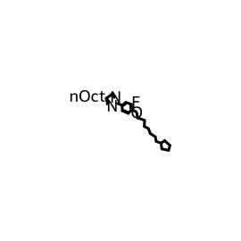 CCCCCCCCc1cnc(-c2ccc(OCCCCCCCC3CCCC3)c(F)c2)nc1